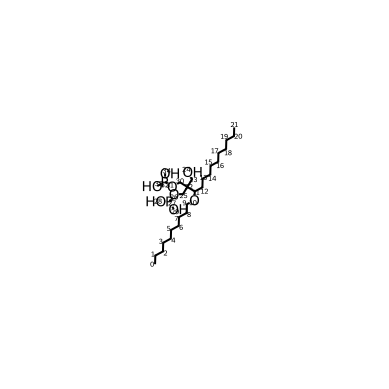 CCCCCCCCCCOC(CCCCCCCCCC)C(CO)(COP(O)O)COP(O)O